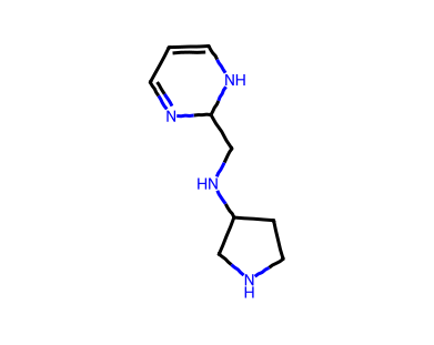 C1=CNC(CNC2CCNC2)N=C1